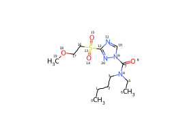 CCCCN(CC)C(=O)n1cnc(S(=O)(=O)CCOC)n1